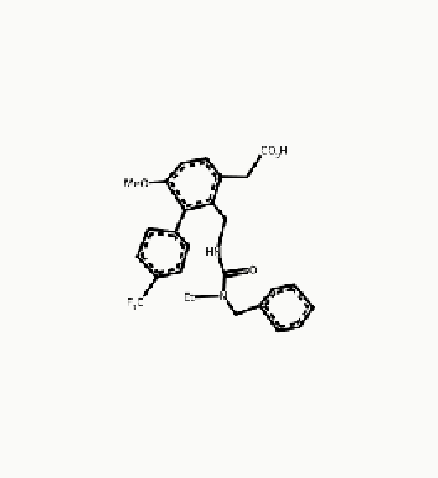 CCN(Cc1ccccc1)C(=O)NCc1c(CC(=O)O)ccc(OC)c1-c1ccc(C(F)(F)F)cc1